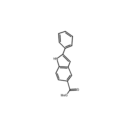 COC(=O)c1ccc2[nH]c(-c3ccccc3)cc2c1